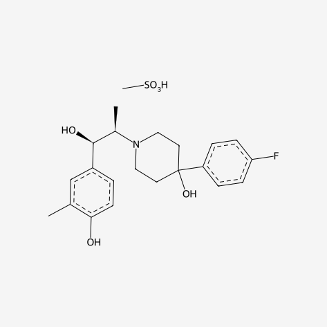 CS(=O)(=O)O.Cc1cc([C@@H](O)[C@@H](C)N2CCC(O)(c3ccc(F)cc3)CC2)ccc1O